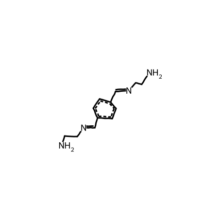 NCC/N=C/c1ccc(/C=N/CCN)cc1